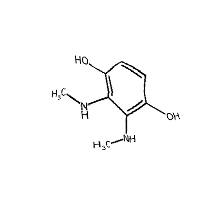 CNc1c(O)ccc(O)c1NC